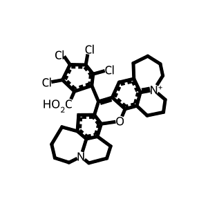 O=C(O)c1c(Cl)c(Cl)c(Cl)c(Cl)c1C1=c2cc3c4c(c2Oc2c1cc1c5c2CCCN5CCCC1)CCC[N+]=4CCCC3